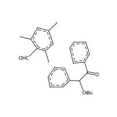 CC(C)COC(C(=O)c1ccccc1)c1ccccc1.Cc1cc(C)c([C]=O)c(C)c1